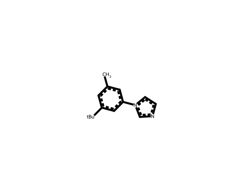 Cc1cc(-n2ccnc2)cc(C(C)(C)C)c1